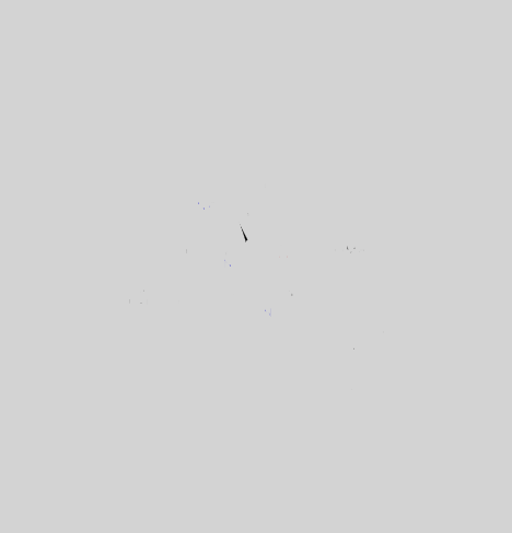 COc1ccc(Cl)cc1C(=O)N=c1sc(C(C)(C)C)cn1C[C@@H]1CCCCN1